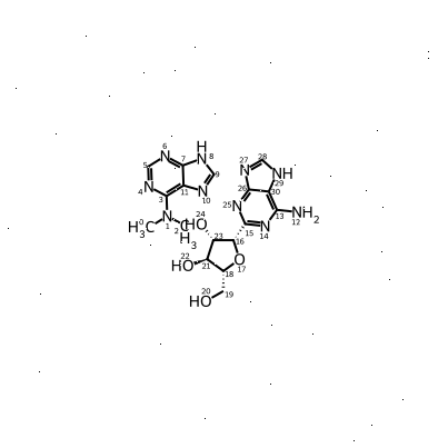 CN(C)c1ncnc2[nH]cnc12.Nc1nc([C@@H]2O[C@H](CO)[C@@H](O)[C@@H]2O)nc2nc[nH]c12